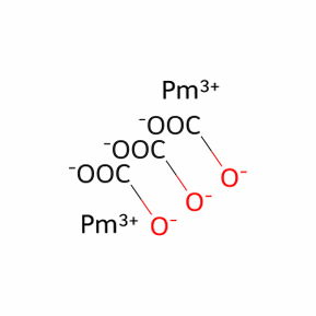 O=C([O-])[O-].O=C([O-])[O-].O=C([O-])[O-].[Pm+3].[Pm+3]